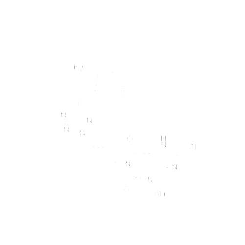 CCCn1c(=O)n(CCCn2nnc(Cc3ccccc3C(F)(F)F)n2)c(=O)c2[nH]c(Cl)nc21